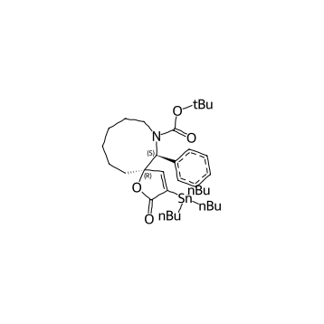 CCC[CH2][Sn]([CH2]CCC)([CH2]CCC)[C]1=C[C@@]2(CCCCCCN(C(=O)OC(C)(C)C)[C@H]2c2ccccc2)OC1=O